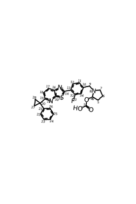 O=C(O)O[C@@H]1CCCN1Cc1ccc(-c2nc3ccc(C4(c5ccccc5)CC4)nc3s2)c(F)c1